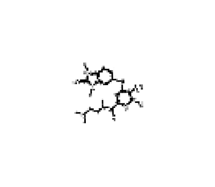 CN(C)CCNC(=O)c1cc(Nc2ccc3c(c2)n(C)c(=O)n3C)c(C#N)c(Cl)n1